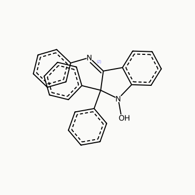 ON1c2ccccc2/C(=N/c2ccccc2)C1(c1ccccc1)c1ccccc1